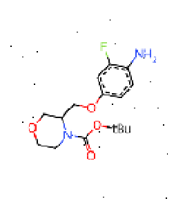 CC(C)(C)OC(=O)N1CCOCC1COc1ccc(N)c(F)c1